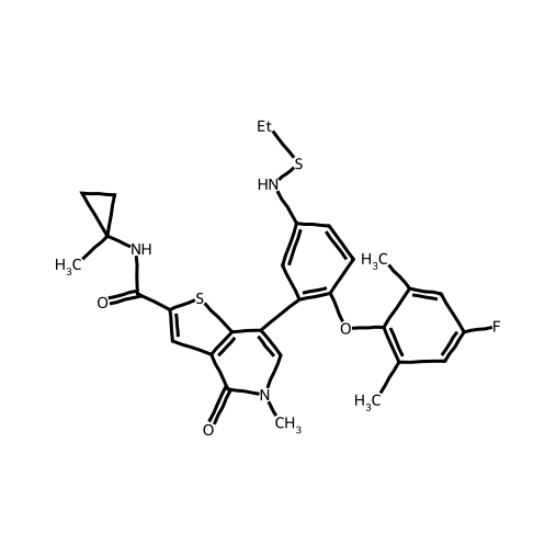 CCSNc1ccc(Oc2c(C)cc(F)cc2C)c(-c2cn(C)c(=O)c3cc(C(=O)NC4(C)CC4)sc23)c1